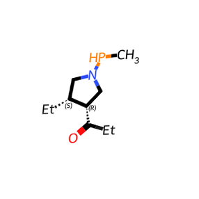 CCC(=O)[C@H]1CN(PC)C[C@H]1CC